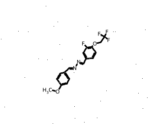 COc1ccc(C=NN=Cc2ccc(OCC(F)(F)F)c(F)c2)cc1